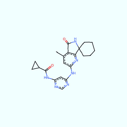 Cc1cc(Nc2cc(NC(=O)C3CC3)ncn2)nc2c1C(=O)NC21CCCCC1